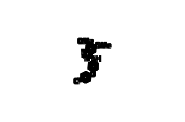 COc1cc2ncnc(Nc3ccc(Oc4ccc(Cl)cc4)cc3)c2cc1OC